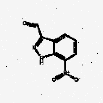 O=Cc1n[nH]c2c([N+](=O)[O-])cccc12